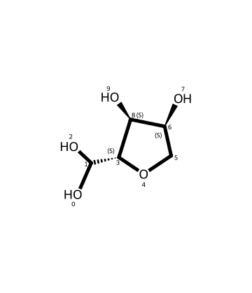 OC(O)[C@H]1OC[C@H](O)[C@@H]1O